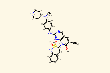 C#Cc1cc2cnc(Nc3ccc(N(C)C4CCNCC4)cc3)nc2n(C2Cc3ccccc3NS2(=O)=O)c1=O